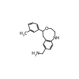 Cc1cccc(C2Cc3cc(CN)ccc3NCCO2)c1